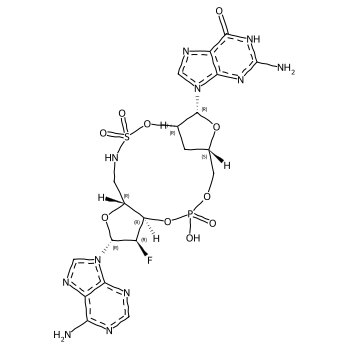 Nc1nc2c(ncn2[C@@H]2O[C@@H]3COP(=O)(O)O[C@H]4[C@@H](F)[C@H](n5cnc6c(N)ncnc65)O[C@@H]4CNS(=O)(=O)O[C@@H]2C3)c(=O)[nH]1